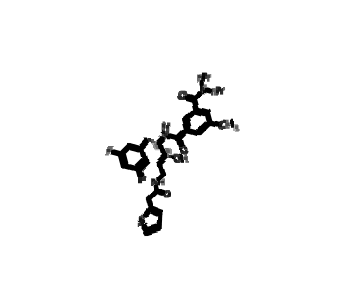 CCCN(CCC)C(=O)c1cc(C)cc(C(=O)N[C@@H](Cc2cc(F)cc(F)c2)[C@H](O)CCNC(=O)Cc2cccs2)c1